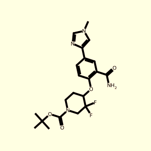 Cn1cnc(-c2ccc(OC3CCN(C(=O)OC(C)(C)C)CC3(F)F)c(C(N)=O)c2)c1